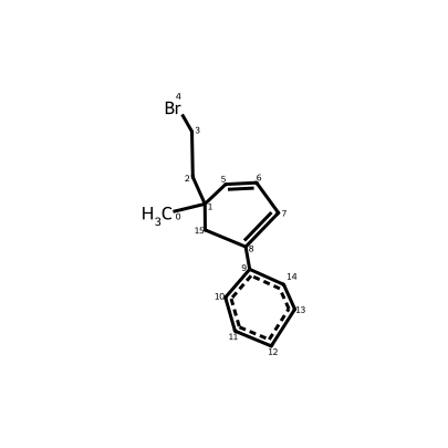 CC1(CCBr)C=CC=C(c2ccccc2)C1